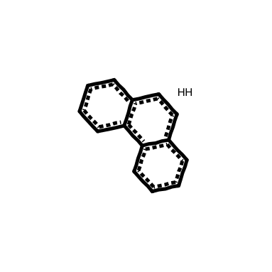 [HH].c1ccc2c(c1)ccc1ccccc12